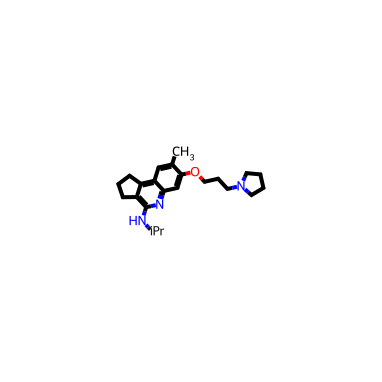 Cc1cc2c3c(c(NC(C)C)nc2cc1OCCCN1CCCC1)CCC3